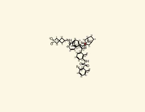 O=S1(=O)CC2(CC(Nc3nccc(-c4sc(N5C6CCC5CN(Cc5ccccc5)C6)nc4-c4cccc(NS(=O)(=O)c5c(F)cccc5F)c4F)n3)C2)C1